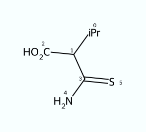 CC(C)C(C(=O)O)C(N)=S